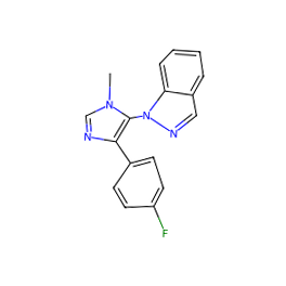 Cn1cnc(-c2ccc(F)cc2)c1-n1ncc2ccccc21